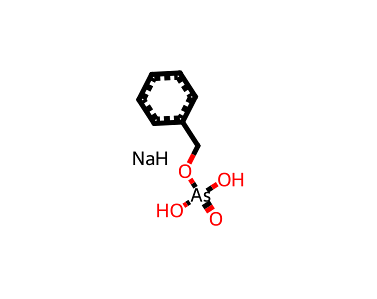 O=[As](O)(O)OCc1ccccc1.[NaH]